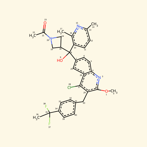 COc1nc2ccc(C(O)(c3ccc(C)nc3C)C3CN(C(C)=O)C3)cc2c(Cl)c1Cc1ccc(C(C)(F)F)cc1